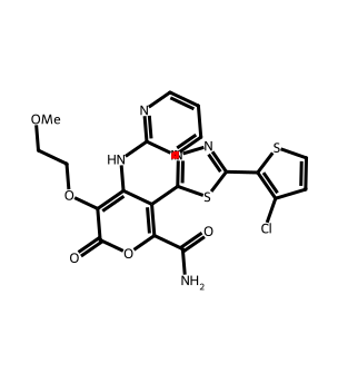 COCCOc1c(Nc2ncccn2)c(-c2nnc(-c3sccc3Cl)s2)c(C(N)=O)oc1=O